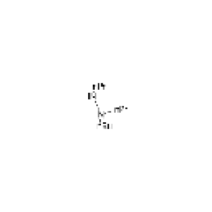 CCCCN(CCC)NCCC